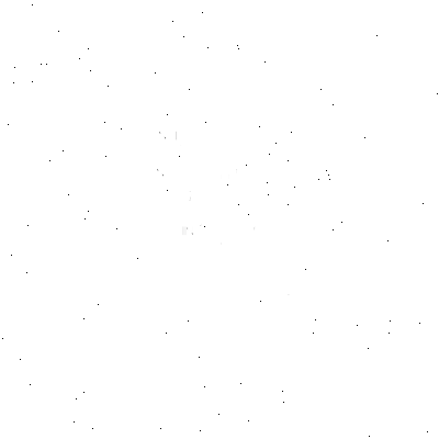 NNC(=O)NC1CCCCC1